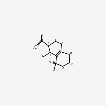 CC(=O)C1CCC2=C(C1C)C(C)(C)CCC2